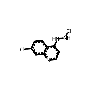 ClNNc1ccnc2cc(Cl)ccc12